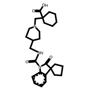 O=C(NCC1CCN(CC2(C(=O)O)CCCCC2)CC1)N1C(=O)C2(CCCC2)c2ccccc21